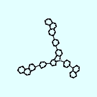 c1ccc2c(-c3ccc(-n4c5ccc(-c6ccc(-c7ccc8c(ccc9ccccc98)c7)cc6)cc5c5cc(-c6ccc(-c7ccc8c(ccc9ccccc98)c7)cc6)ccc54)cc3)cccc2c1